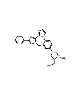 N[C@H]1CN(c2ccc3c(c2)Cn2cc(-c4ccc(F)cc4)cc2-c2nccn2-3)C[C@@H]1CO